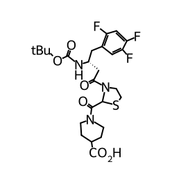 CC(C)(C)OC(=O)N[C@@H](CC(=O)N1CCSC1C(=O)N1CCC(C(=O)O)CC1)Cc1cc(F)c(F)cc1F